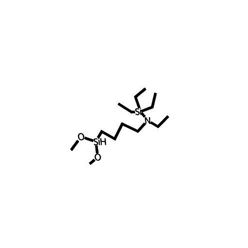 CCN(CCCC[SiH](OC)OC)[Si](CC)(CC)CC